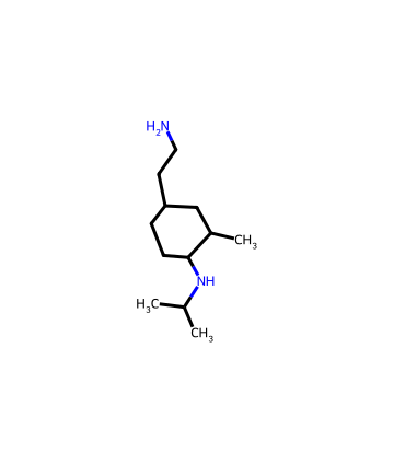 CC(C)NC1CCC(CCN)CC1C